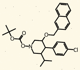 CC(C)C1CN(OC(=O)OC(C)(C)C)CC(OCc2ccc3ccccc3c2)C1c1ccc(Cl)cc1